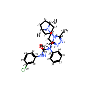 Cc1nnc(C(C)C)n1C1C[C@H]2CC[C@@H](C1)N2CCCN(C(=O)Nc1cccc(Cl)c1)c1ccccc1